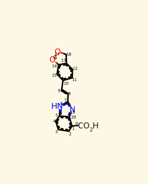 O=C(O)c1cccc2[nH]c(/C=C/c3ccc4c(c3)OOC4)nc12